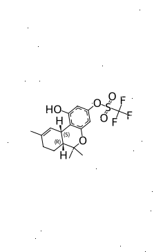 CC1=C[C@@H]2c3c(O)cc(OS(=O)(=O)C(F)(F)F)cc3OC(C)(C)[C@@H]2CC1